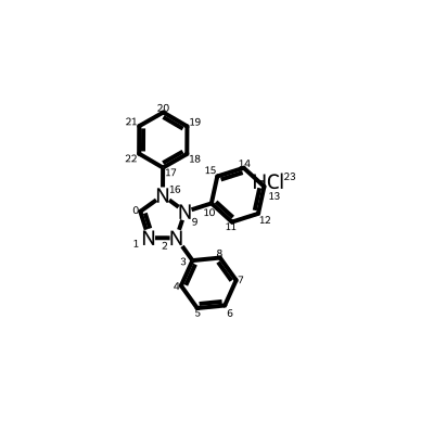 C1=NN(c2ccccc2)N(c2ccccc2)N1c1ccccc1.Cl